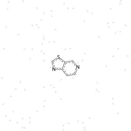 [c]1cc2ncsc2cn1